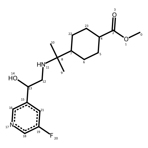 COC(=O)C1CCC(C(C)(C)NCC(O)c2cncc(F)c2)CC1